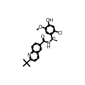 COc1cc([C@@H](C)NC(=O)c2ccc3nc(C(C)(C)C)ccc3c2)c(Cl)cc1O